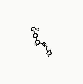 O=C1CCCN1c1ccc(-c2cncc(-c3ccn(CCc4cnccn4)c3)c2)cc1